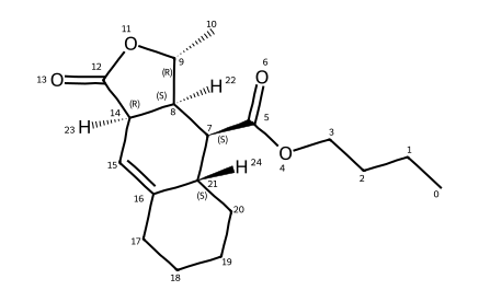 CCCCOC(=O)[C@@H]1[C@@H]2[C@@H](C)OC(=O)[C@@H]2C=C2CCCC[C@H]21